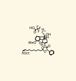 CCCCCCCC/C=C\CCCCCCCC(=O)O[C@H](C(=O)OC1=CC[C@H]2[C@@]34CCN(C)[C@@]2(O)Cc2ccc(OC)c(c23)O[C@@H]14)c1ccccc1.O=C(O)C(F)(F)F